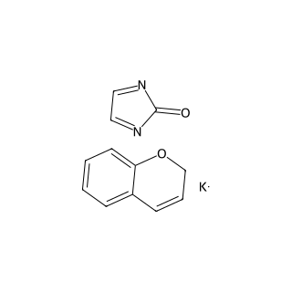 C1=Cc2ccccc2OC1.O=C1N=CC=N1.[K]